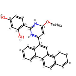 CCCCCCOc1cc(-c2cc3c4c(ccc3c3ccccc23)C=CCC4)nc(-c2ccc(O)cc2O)n1